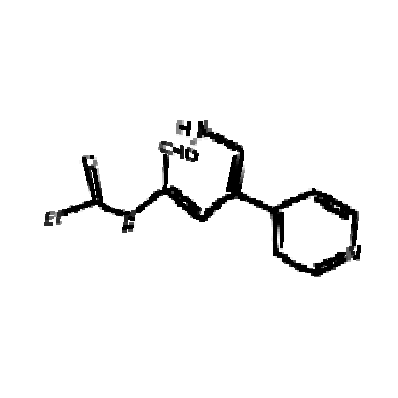 CCC(=O)N/C(C=O)=C/C(=C\N)c1ccncc1